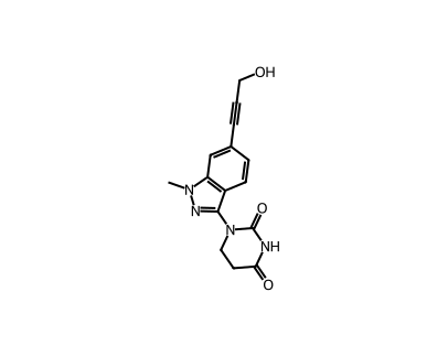 Cn1nc(N2CCC(=O)NC2=O)c2ccc(C#CCO)cc21